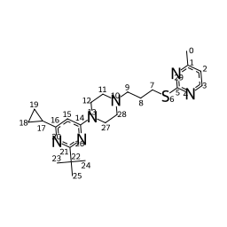 Cc1ccnc(SCCCN2CCN(c3cc(C4CC4)nc(C(C)(C)C)n3)CC2)n1